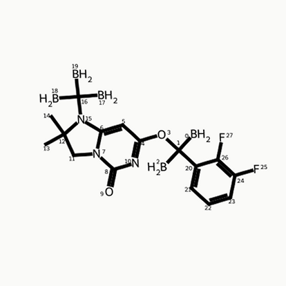 BC(B)(Oc1cc2n(c(=O)n1)CC(C)(C)N2C(B)(B)B)c1cccc(F)c1F